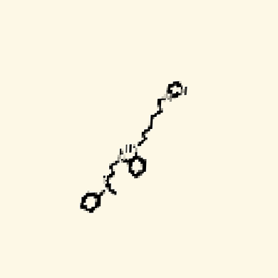 CN(C/C=N/N(C)c1ccccc1)c1ccccc1NCCCCCCn1ccnc1